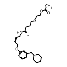 CC(=O)OCCSCCCC(=O)NC/C=C\COc1cc(CN2CCCCC2)ccn1